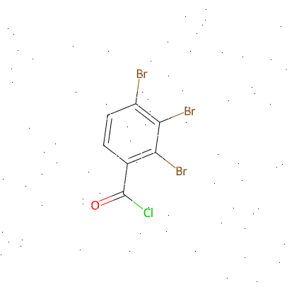 O=C(Cl)c1ccc(Br)c(Br)c1Br